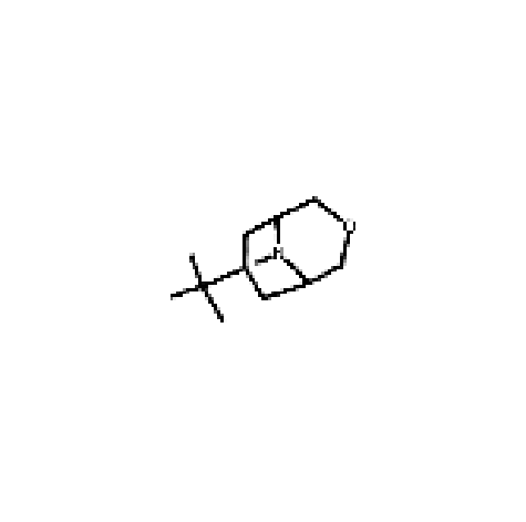 CN1C2COCC1CC(C(C)(C)C)C2